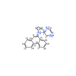 CN(c1cnccn1)c1cc2ccccc2c2ccccc12